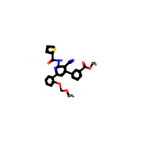 COCOc1ccccc1-c1cc(-c2cccc(C(=O)OC)c2)c(C#N)c(NC(=O)c2cccs2)n1